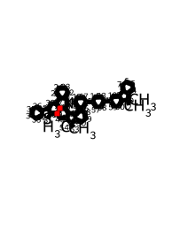 CC1(C)c2ccccc2-c2cc(-c3ccc(-c4ccc(N(c5ccccc5-c5ccc6sc7ccccc7c6c5)c5cccc6c5-c5ccccc5C6(C)C)cc4)cc3)ccc21